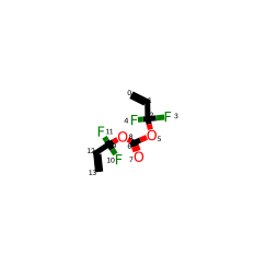 C=CC(F)(F)OC(=O)OC(F)(F)C=C